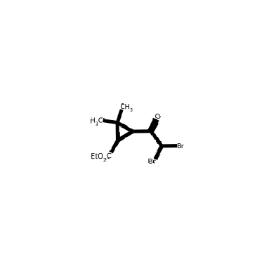 CCOC(=O)C1C(C(=O)C(Br)Br)C1(C)C